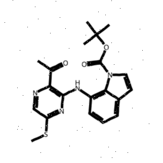 CSc1cnc(C(C)=O)c(Nc2cccc3ccn(C(=O)OC(C)(C)C)c23)n1